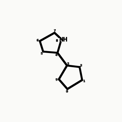 C1CCC(C2CCCN2)C1